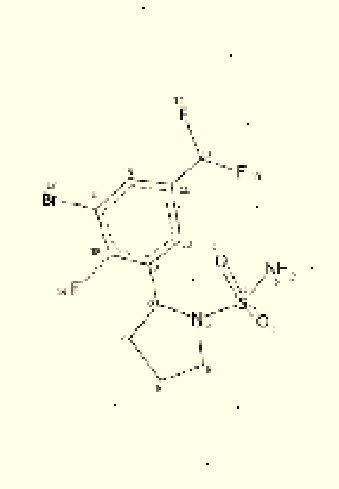 NS(=O)(=O)N1CCCC1c1cc(C(F)F)cc(Br)c1F